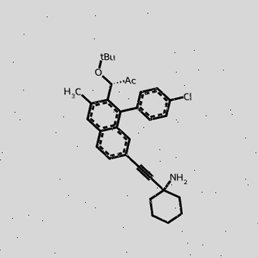 CC(=O)[C@@H](OC(C)(C)C)c1c(C)cc2ccc(C#CC3(N)CCCCC3)cc2c1-c1ccc(Cl)cc1